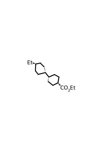 CCOC(=O)[C@H]1CC[C@H]([C@H]2CC[C@H](CC)CC2)CC1